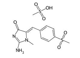 CN1C(N)=NC(=O)/C1=C/c1ccc(S(C)(=O)=O)cc1.CS(=O)(=O)O